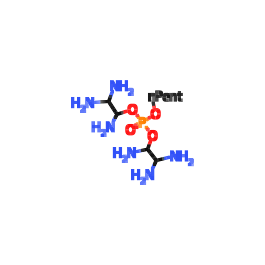 CCCCCOP(=O)(OC(N)C(N)N)OC(N)C(N)N